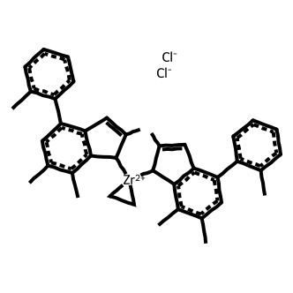 CC1=Cc2c(-c3ccccc3C)cc(C)c(C)c2[CH]1[Zr+2]1([CH]2C(C)=Cc3c(-c4ccccc4C)cc(C)c(C)c32)[CH2][CH2]1.[Cl-].[Cl-]